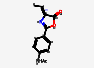 C/C=C1\N=C(c2ccc(NC(C)=O)cc2)OC1=O